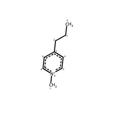 C[CH]Cc1cc[n+](C)cc1